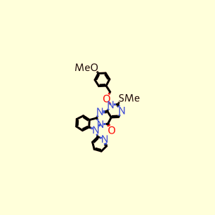 COc1ccc(CON2C(SC)=NC=C3C(=O)N4C(N=C32)c2ccccc2N4c2ccccn2)cc1